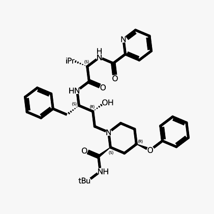 CC(C)[C@H](NC(=O)c1ccccn1)C(=O)N[C@@H](Cc1ccccc1)[C@H](O)CN1CC[C@@H](Oc2ccccc2)C[C@H]1C(=O)NC(C)(C)C